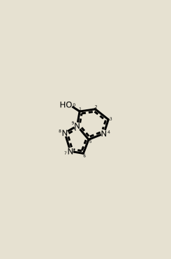 Oc1ccnc2cnnn12